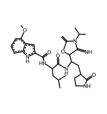 C=C1OC(C(CC2CCNC2=O)NC(=O)C(CC(C)C)NC(=O)c2cc3c(OC)cccc3[nH]2)C(=N)N1C(C)C